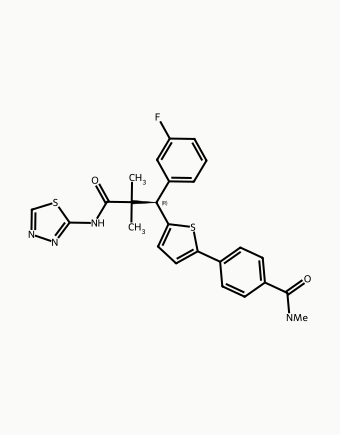 CNC(=O)c1ccc(-c2ccc([C@H](c3cccc(F)c3)C(C)(C)C(=O)Nc3nncs3)s2)cc1